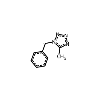 Cc1nnnn1[CH]c1ccccc1